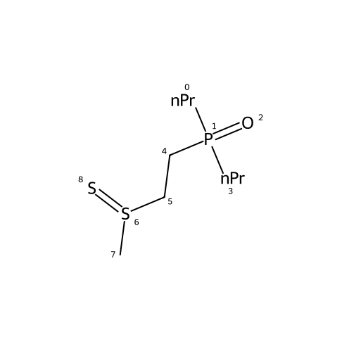 CCCP(=O)(CCC)CCS(C)=S